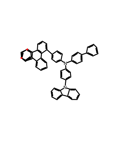 c1ccc(-c2ccc(N(c3ccc(-c4cccc(-c5ccccc5)c4-c4ccccc4-c4ccccc4)cc3)c3ccc(-n4c5ccccc5c5ccccc54)cc3)cc2)cc1